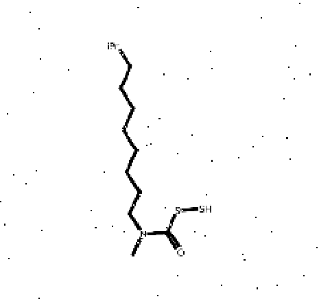 CC(C)CCCCCCCCN(C)C(=O)SS